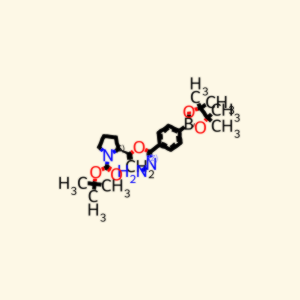 C=C(O/C(=N\N)c1ccc(B2OC(C)(C)C(C)(C)O2)cc1)[C@@H]1CCCN1C(=O)OC(C)(C)C